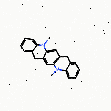 CN1c2ccccc2Cc2cc3c(cc21)Cc1ccccc1N3C